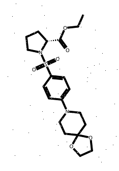 CCOC(=O)[C@H]1CCCN1S(=O)(=O)c1ccc(N2CCC3(CC2)OCCO3)cc1